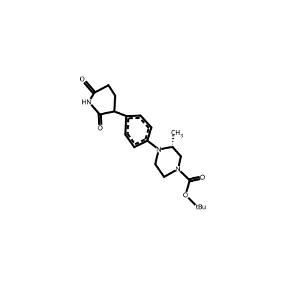 C[C@@H]1CN(C(=O)OC(C)(C)C)CCN1c1ccc(C2CCC(=O)NC2=O)cc1